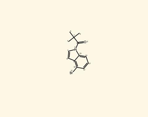 CC(C)(C)C(=O)n1ccc2c(Br)cccc21